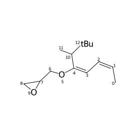 C/C=C\C=C(\OCC1CO1)C(C)C(C)(C)C